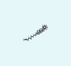 C#CCCCCCCCCCOCOCc1ccccc1